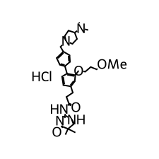 COCCCOc1cc(CCC(=O)NC2=NC(=O)C(C)(C)CN2)ccc1-c1ccc(CN2CCC(N(C)C)CC2)cc1.Cl